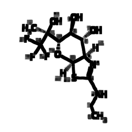 CCNC1=N[C@@H]2[C@@H](O)[C@H](O)[C@@H]([C@](C)(O)C(F)(F)F)O[C@@H]2S1